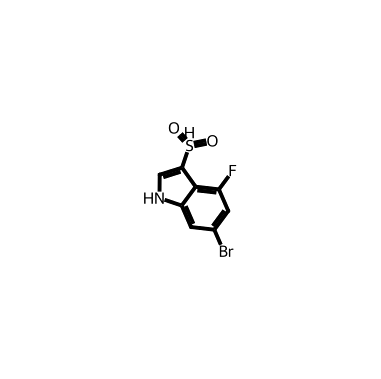 O=[SH](=O)c1c[nH]c2cc(Br)cc(F)c12